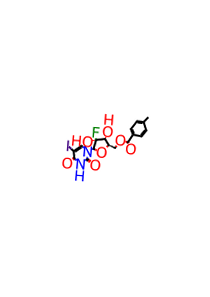 Cc1ccc(C(=O)OC[C@H]2O[C@@H](n3cc(I)c(=O)[nH]c3=O)[C@@](O)(F)[C@@H]2O)cc1